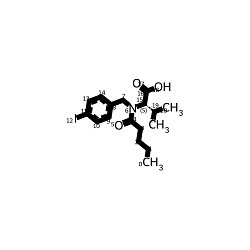 CCCCC(=O)N(Cc1ccc(I)cc1)[C@H](C(=O)O)C(C)C